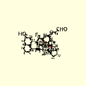 CC(C)[Si](C#Cc1cccc2cc(O)cc(-c3ncc4c(N5CC6CCC(C5)N6C(=O)OC(C)(C)C)nc(OCC=O)nc4c3F)c12)(C(C)C)C(C)C